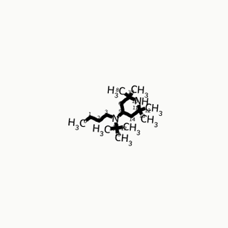 CCCCN(C1CC(C)(C)NC(C)(C)C1)C(C)(C)C